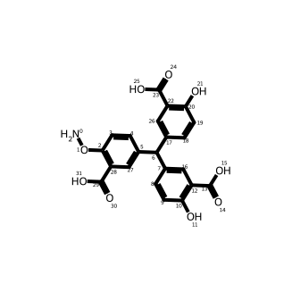 NOc1ccc(C(c2ccc(O)c(C(=O)O)c2)c2ccc(O)c(C(=O)O)c2)cc1C(=O)O